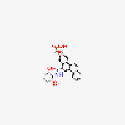 CS(=O)(=O)O.O[C@@H]1CCC[C@H](O)[C@H]1NCc1cc2c3ccccc3ccc2c2ccccc12